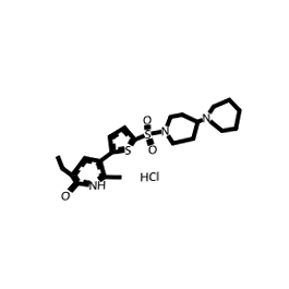 CCc1cc(-c2ccc(S(=O)(=O)N3CCC(N4CCCCC4)CC3)s2)c(C)[nH]c1=O.Cl